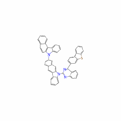 c1ccc2c(c1)ccc1c2c2ccccc2n1-c1ccc2cc3c4ccccc4n(-c4nc(-c5ccc6c(c5)sc5ccccc56)c5ccccc5n4)c3cc2c1